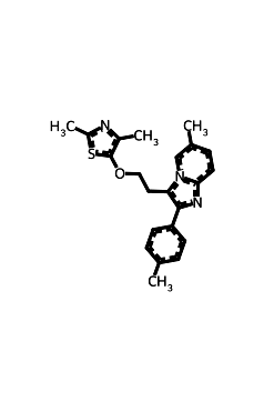 Cc1ccc(-c2nc3ccc(C)cn3c2CCOc2sc(C)nc2C)cc1